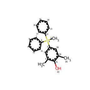 Cc1cc(S(C)(c2ccccc2)c2ccccc2)cc(C)c1O